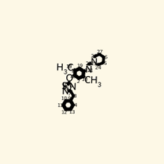 Cc1cc(Oc2nc(Cc3ccccc3)ns2)c(C)cc1N=CN1CCCCC1